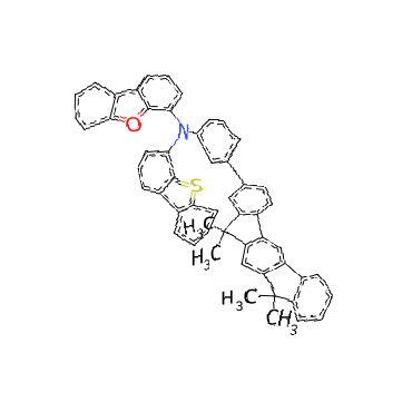 CC1(C)c2ccccc2-c2cc3c(cc21)C(C)(C)c1cc(-c2cccc(N(c4cccc5c4oc4ccccc45)c4cccc5c4sc4ccccc45)c2)ccc1-3